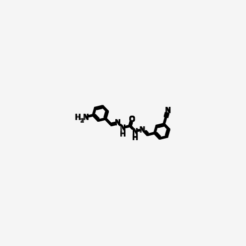 N#Cc1cccc(/C=N/NC(=O)N/N=C/c2cccc(N)c2)c1